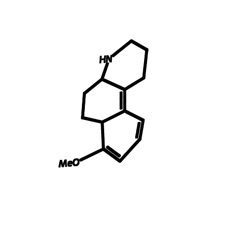 COC1=CC=CC2=C3CCCNC3CCC12